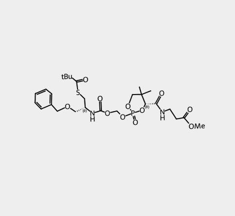 COC(=O)CCNC(=O)[C@@H]1OP(=O)(OCOC(=O)N[C@H](COCc2ccccc2)CSC(=O)C(C)(C)C)OCC1(C)C